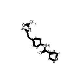 O=C(Nc1ccc(Cc2noc(C(F)(F)F)n2)cc1)c1ccncc1